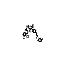 O=C(C1=C(c2ccc(CCCOc3c(F)ccc(F)c3Cl)cc2)C(F)(F)CNC1)N(Cc1cccc(Cl)c1Cl)C1CC1